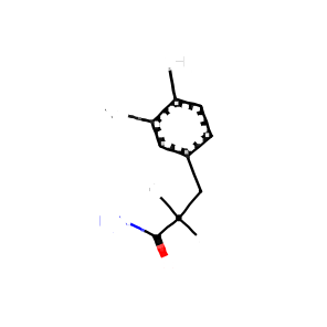 Cc1ccc(CC(C)(C)C(N)=O)cc1C#N